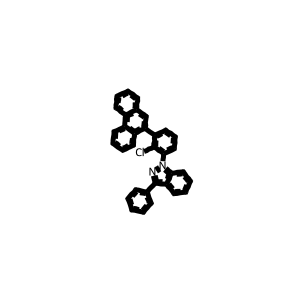 Clc1c(-c2cc3ccccc3c3ccccc23)cccc1-n1nc(-c2ccccc2)c2ccccc21